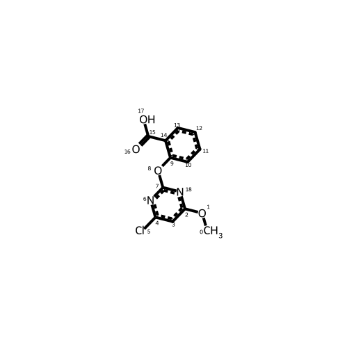 COc1cc(Cl)nc(Oc2ccccc2C(=O)O)n1